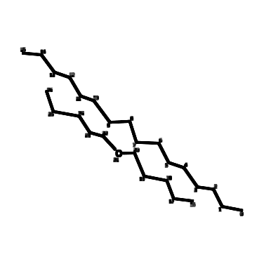 CCCCCCCCCCCCCCCC.CCCCCOCCCCC